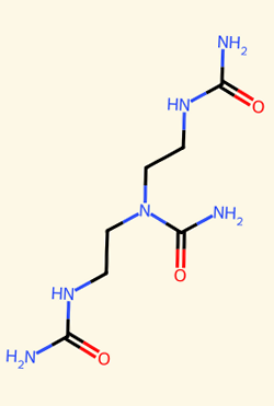 NC(=O)NCCN(CCNC(N)=O)C(N)=O